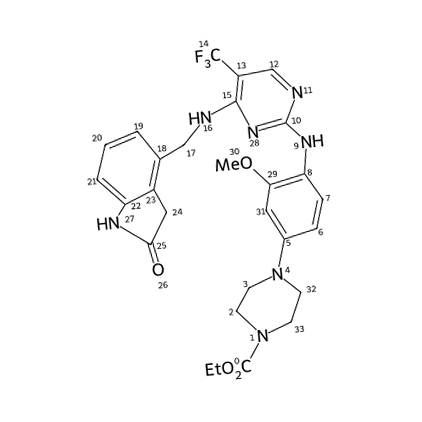 CCOC(=O)N1CCN(c2ccc(Nc3ncc(C(F)(F)F)c(NCc4cccc5c4CC(=O)N5)n3)c(OC)c2)CC1